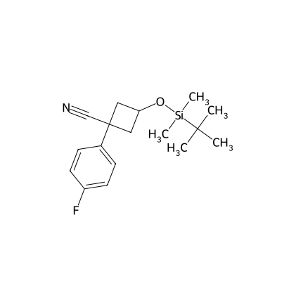 CC(C)(C)[Si](C)(C)OC1CC(C#N)(c2ccc(F)cc2)C1